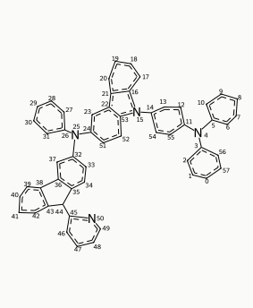 c1ccc(N(c2ccccc2)c2ccc(-n3c4ccccc4c4cc(N(c5ccccc5)c5ccc6c(c5)-c5ccccc5C6c5ccccn5)ccc43)cc2)cc1